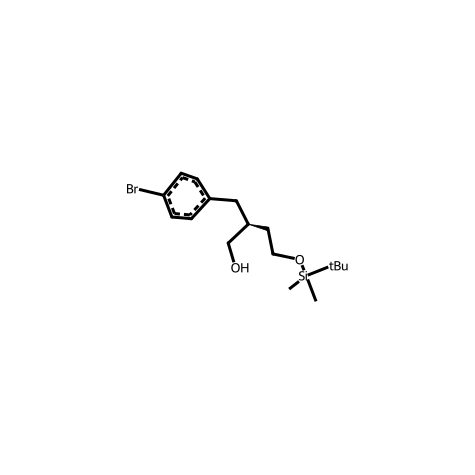 CC(C)(C)[Si](C)(C)OCC[C@@H](CO)Cc1ccc(Br)cc1